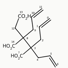 C=CCC(CC=C)(C(=O)O)C(CC=C)(CC(=O)O)C(=O)O